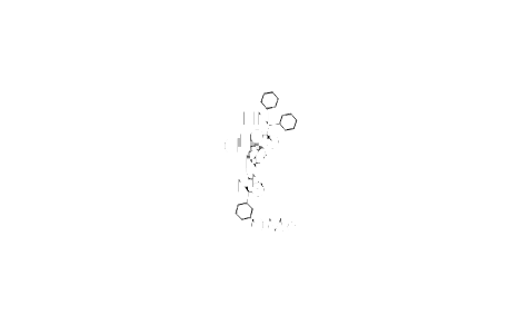 COc1cccc(-c2nc(C[N+]34CCC(CC3)[C@@H](OC(=O)[C@H](Nc3ccccc3)c3ccccc3)C4)no2)c1.[Cl-]